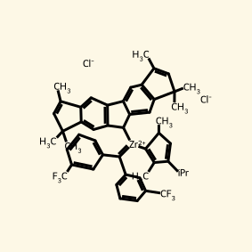 CC1=CC(C)(C)c2cc3c(cc21)-c1cc2c(cc1[CH]3[Zr+2]([C]1=C(C)C(C(C)C)=CC1C)=[C](c1cccc(C(F)(F)F)c1)c1cccc(C(F)(F)F)c1)C(C)(C)C=C2C.[Cl-].[Cl-]